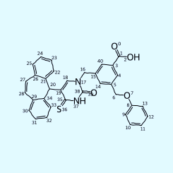 O=C(O)c1cc(COc2ccccc2)cc(Cn2cc(C3c4ccccc4C=Cc4ccccc43)c(=S)[nH]c2=O)c1